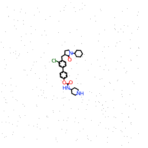 O=C(NC1CCNCC1)Oc1ccc(-c2ccc(CC3CCN(C4CCCCC4)C3=O)c(Cl)c2)cc1